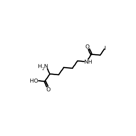 NC(CCCCNC(=O)CI)C(=O)O